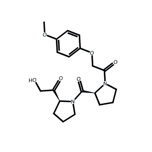 COc1ccc(OCC(=O)N2CCC[C@H]2C(=O)N2CCC[C@H]2C(=O)CO)cc1